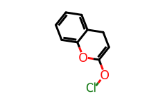 ClOC1=CCc2ccccc2O1